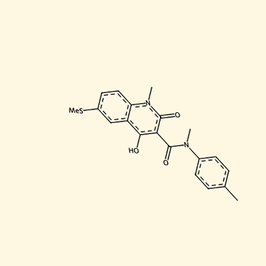 CSc1ccc2c(c1)c(O)c(C(=O)N(C)c1ccc(C)cc1)c(=O)n2C